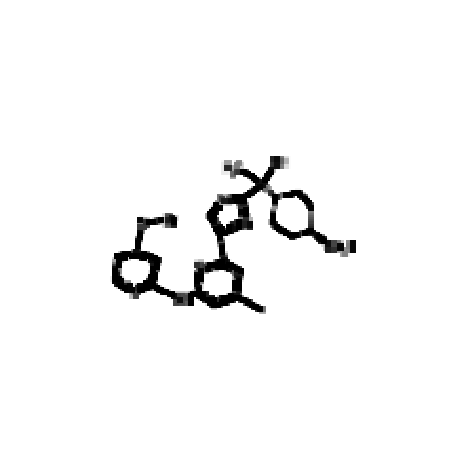 Cc1cc(Nc2cc(OC(C)C)ccn2)nc(-c2cnc(C(O)([C@H]3CC[C@H](C(=O)O)CC3)C(F)(F)F)s2)c1